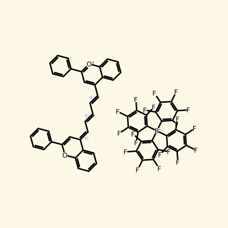 C1=C(c2ccccc2)Oc2ccccc2/C1=C/C=C/C=C/c1cc(-c2ccccc2)[o+]c2ccccc12.Fc1c(F)c(F)c([B-](c2c(F)c(F)c(F)c(F)c2F)(c2c(F)c(F)c(F)c(F)c2F)c2c(F)c(F)c(F)c(F)c2F)c(F)c1F